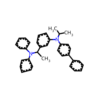 CC(C)N(c1ccc(-c2ccccc2)cc1)c1cccc(C(C)N(c2ccccc2)c2ccccc2)c1